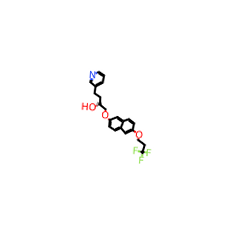 O[C@H](CCc1cccnc1)COc1ccc2cc(OCCC(F)(F)F)ccc2c1